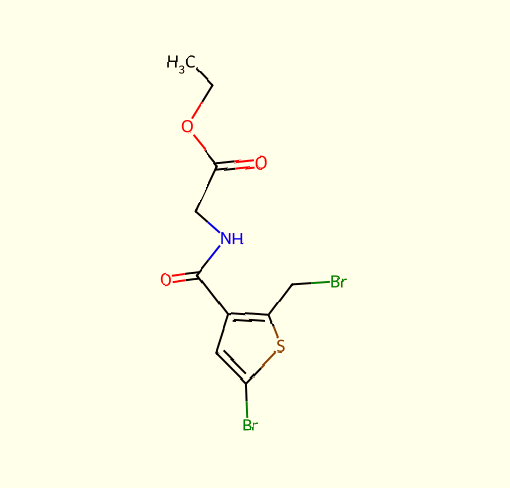 CCOC(=O)CNC(=O)c1cc(Br)sc1CBr